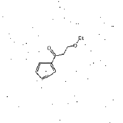 CCOCCC(=O)c1cc[c]cc1